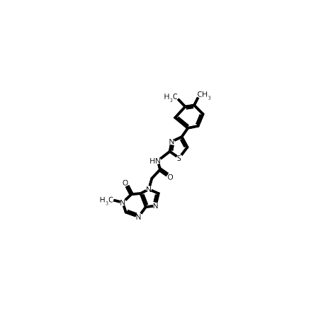 Cc1ccc(-c2csc(NC(=O)Cn3cnc4ncn(C)c(=O)c43)n2)cc1C